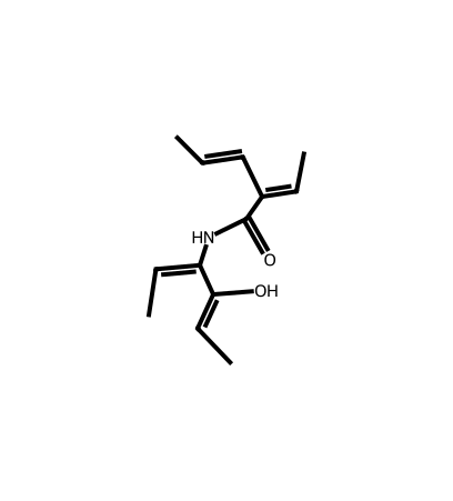 CC=C/C(=C\C)C(=O)N/C(=C/C)C(O)=CC